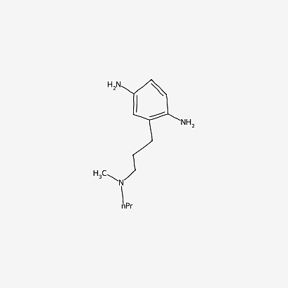 CCCN(C)CCCc1cc(N)ccc1N